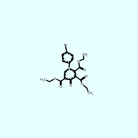 CCOC(=O)c1cn(-c2ccc(Br)cc2)c(C(=O)OCC)c(C(=O)OCC)c1=O